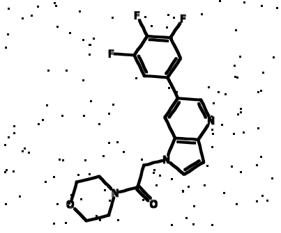 O=C(Cn1ccc2ncc(-c3cc(F)c(F)c(F)c3)cc21)N1CCOCC1